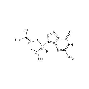 [2H]C(O)[C@@H]1C[C@@H](O)[C@](F)(n2cnc3c(=O)[nH]c(N)nc32)O1